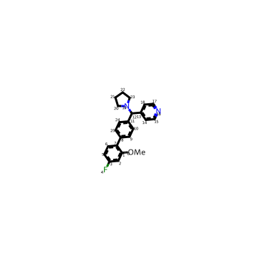 COc1cc(F)ccc1-c1ccc(C(c2ccncc2)N2CCCC2)cc1